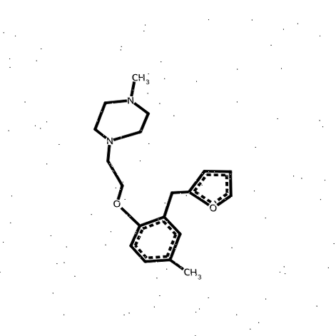 Cc1ccc(OCCN2CCN(C)CC2)c(Cc2ccco2)c1